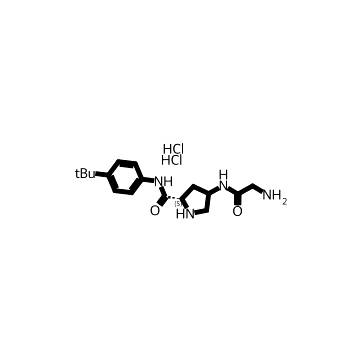 CC(C)(C)c1ccc(NC(=O)[C@@H]2CC(NC(=O)CN)CN2)cc1.Cl.Cl